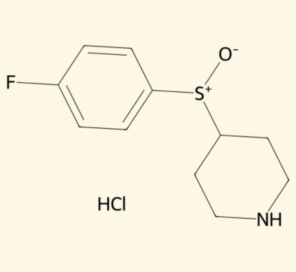 Cl.[O-][S+](c1ccc(F)cc1)C1CCNCC1